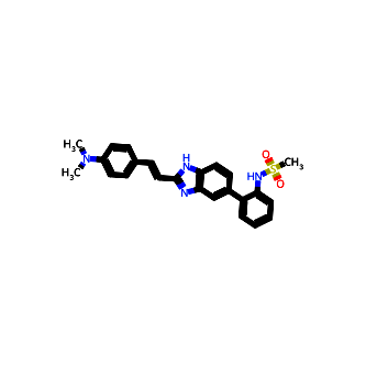 CN(C)c1ccc(C=Cc2nc3cc(-c4ccccc4NS(C)(=O)=O)ccc3[nH]2)cc1